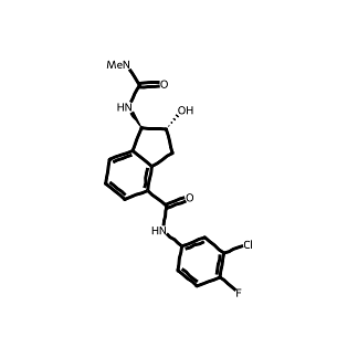 CNC(=O)N[C@@H]1c2cccc(C(=O)Nc3ccc(F)c(Cl)c3)c2C[C@H]1O